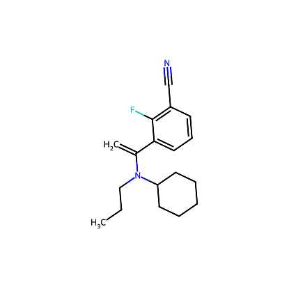 C=C(c1cccc(C#N)c1F)N(CCC)C1CCCCC1